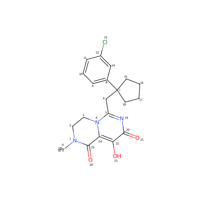 CC(C)N1CCn2c(CC3(c4cccc(Cl)c4)CCCC3)nc(=O)c(O)c2C1=O